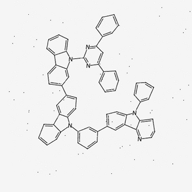 c1ccc(-c2cc(-c3ccccc3)nc(-n3c4ccccc4c4ccc(-c5ccc6c(c5)c5ccccc5n6-c5cccc(-c6ccc7c(c6)c6ncccc6n7-c6ccccc6)c5)cc43)n2)cc1